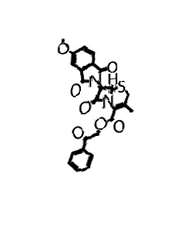 COc1ccc2c(c1)C(=O)N(C1C(=O)N3C(C(=O)OCC(=O)c4ccccc4)=C(C)CS[C@@H]13)C2=O